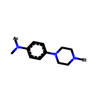 CCN1CCN(c2ccc(N(C)C(C)=O)cc2)CC1